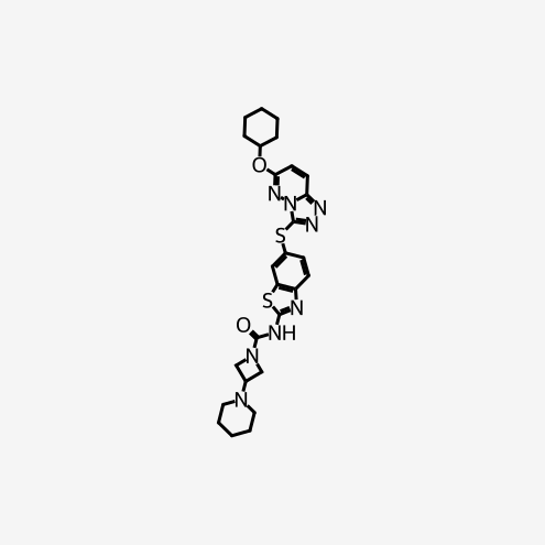 O=C(Nc1nc2ccc(Sc3nnc4ccc(OC5CCCCC5)nn34)cc2s1)N1CC(N2CCCCC2)C1